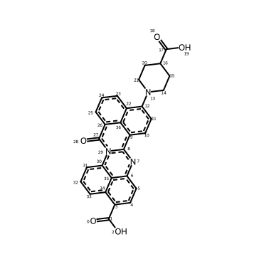 O=C(O)c1ccc2nc3c4ccc(N5CCC(C(=O)O)CC5)c5cccc(c(=O)n3c3cccc1c23)c54